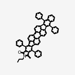 C=c1c2c(-c3ccccc3)c3c4ccc5c6ccc7c8c(ccc(c9ccc(c3c(-c3ccccc3)c2c(=O)n1CCC)c4c59)c86)-c1c-7c(-c2ccccc2)c2ccccc2c1-c1ccccc1